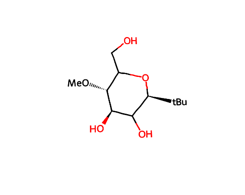 CO[C@@H]1C(CO)O[C@@H](C(C)(C)C)C(O)[C@H]1O